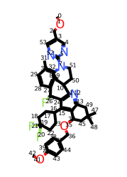 COCc1cnc(N2CCC(c3nc4c(c(C5CCC(F)(F)CC5)c3C(F)c3ccc(C)cc3)C(OCc3ccc(OC)cc3)CC(C)(C)C4)CC2)nc1